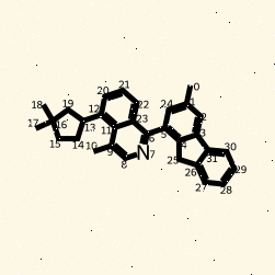 Cc1cc2c(c(-c3ncc(C)c4c(C5CCC(C)(C)C5)cccc34)c1)Cc1ccccc1-2